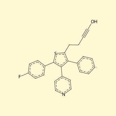 OC#CCCc1sc(-c2ccc(F)cc2)c(-c2ccncc2)c1-c1cc[c]cc1